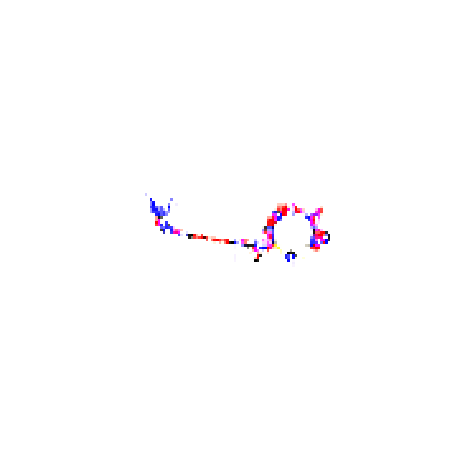 CCCC[C@H](NC(=O)CCC(=O)NCCCOCCOCCOCCCNC(=O)CN1CCN(C(=O)C(CNCCN)CNCCN)CC1)C(=O)N[C@H]1CSCc2cncc(c2)CSCC(C(=O)O)NC(=O)[C@H](Cc2ccccc2)NC(=O)[C@H](CCC(=O)O)NC(=O)[C@H]([C@@H](C)O)NC(=O)[C@@H]2CCCN2C(=O)[C@@H]2CCCN2C1=O